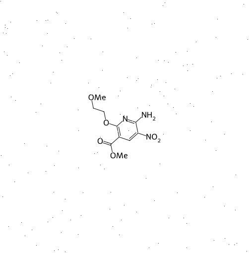 COCCOc1nc(N)c([N+](=O)[O-])cc1C(=O)OC